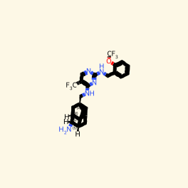 N[C@@H]1[C@@H]2CC3C[C@H]1C[C@@](CNc1nc(NCc4ccccc4OC(F)(F)F)ncc1C(F)(F)F)(C3)C2